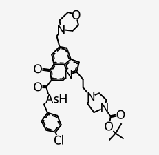 CC(C)(C)OC(=O)N1CCN(CCc2cc3cc(CN4CCOCC4)cc4c(=O)c(C(=O)[AsH]Cc5ccc(Cl)cc5)cn2c34)CC1